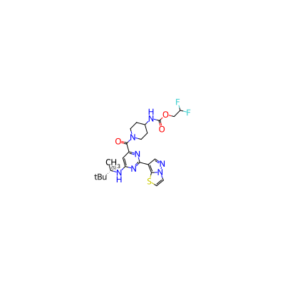 C[C@H](Nc1cc(C(=O)N2CCC(NC(=O)OCC(F)F)CC2)nc(-c2cnn3ccsc23)n1)C(C)(C)C